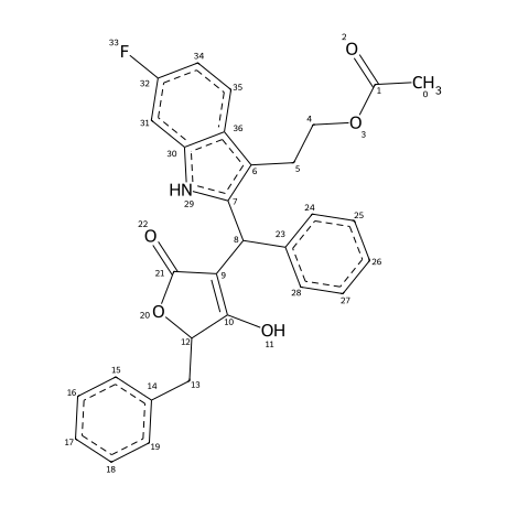 CC(=O)OCCc1c(C(C2=C(O)C(Cc3ccccc3)OC2=O)c2ccccc2)[nH]c2cc(F)ccc12